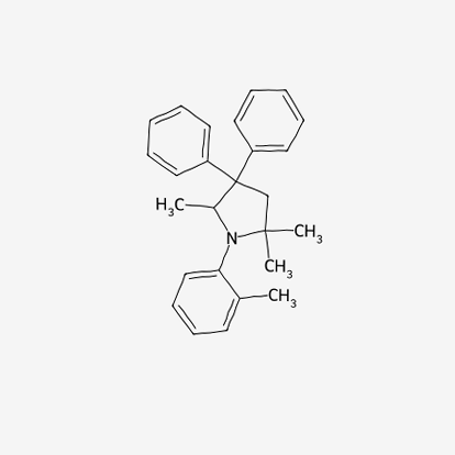 Cc1ccccc1N1C(C)C(c2ccccc2)(c2ccccc2)CC1(C)C